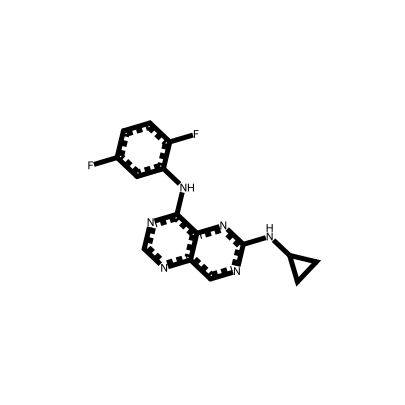 Fc1ccc(F)c(Nc2ncnc3cnc(NC4CC4)nc23)c1